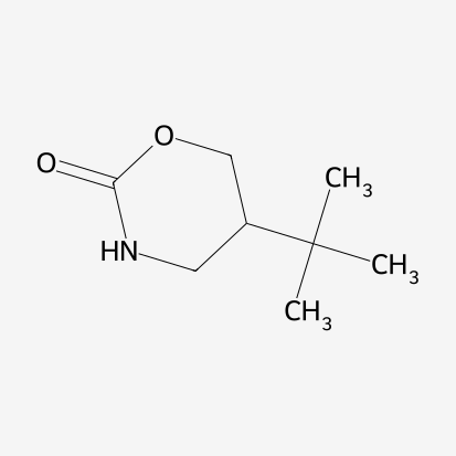 CC(C)(C)C1CNC(=O)OC1